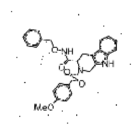 COc1ccc(S(=O)(=O)N2Cc3[nH]c4ccccc4c3C[C@H]2C(=O)NOCc2ccccc2)cc1